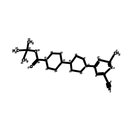 Cc1nc(C#N)cc(N2CCC(C3CCN(C(=O)OC(C)(C)C)CC3)CC2)n1